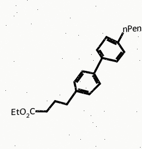 CCCCCc1ccc(-c2ccc(CCCC(=O)OCC)cc2)cc1